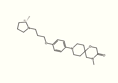 C[C@H]1CCCN1CCCOc1ccc(N2CCC3(CC2)CN(C)C(=O)CO3)cc1